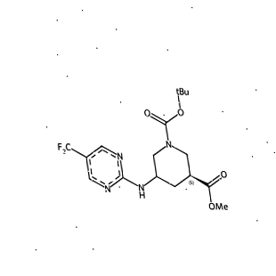 COC(=O)[C@H]1CC(Nc2ncc(C(F)(F)F)cn2)CN(C(=O)OC(C)(C)C)C1